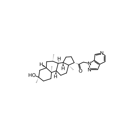 C[C@H]1C[C@H]2C[C@](C)(O)CC[C@]2(C)[C@H]2CC[C@]3(C)[C@@H](C(=O)Cn4ncc5ccncc54)CC[C@H]3[C@H]12